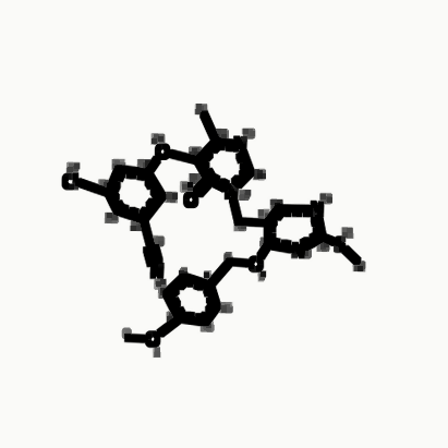 COc1ccc(COc2nc(SC)ncc2Cn2cnc(C)c(Oc3cc(Cl)cc(C#N)c3)c2=O)cc1